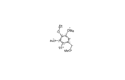 CCOc1c(OC)cc(COC)c(CC)c1OC